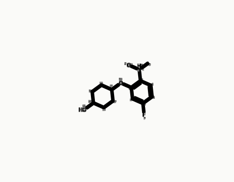 C[NH+]([O-])c1ccc(F)cc1OC1CCC(O)CC1